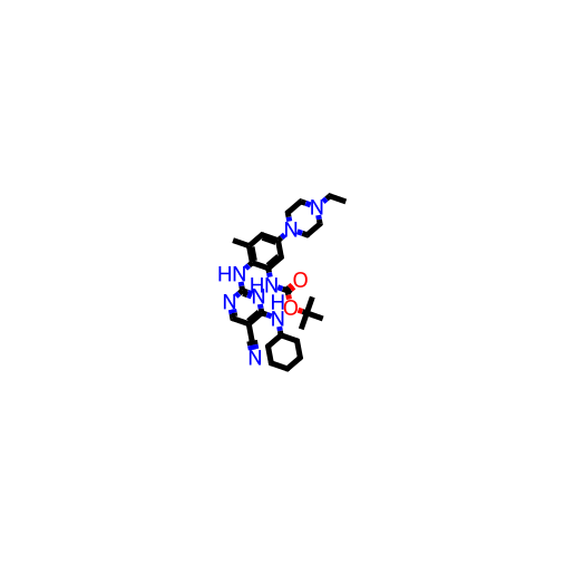 CCN1CCN(c2cc(C)c(Nc3ncc(C#N)c(NC4CCCCC4)n3)c(NC(=O)OC(C)(C)C)c2)CC1